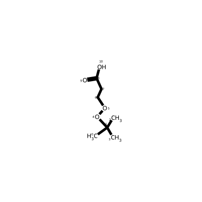 CC(C)(C)OOCCC(=O)O